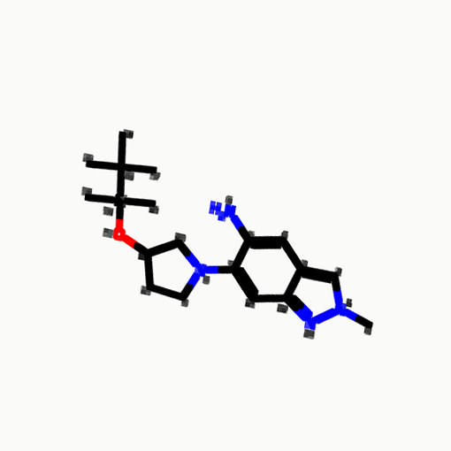 Cn1cc2cc(N)c(N3CCC(O[Si](C)(C)C(C)(C)C)C3)cc2n1